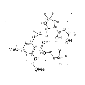 COCOc1cc(OC)cc(C2CC2C[C@@H]2OC(C)(C)O[C@@H]2C(O)C[C@H](C)O)c1C(=O)OCC[Si](C)(C)C